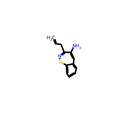 C=CCC1=NSc2ccccc2C=C1N